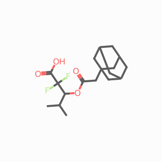 CC(C)C(OC(=O)CC12CC3CC(CC(C3)C1)C2)C(F)(F)C(=O)O